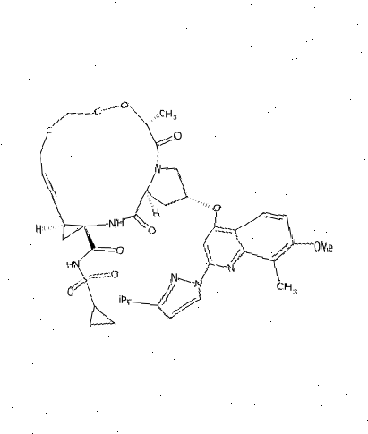 COc1ccc2c(O[C@@H]3C[C@H]4C(=O)N[C@]5(C(=O)NS(=O)(=O)C6CC6)C[C@H]5/C=C\CCCCO[C@H](C)C(=O)N4C3)cc(-n3ccc(C(C)C)n3)nc2c1C